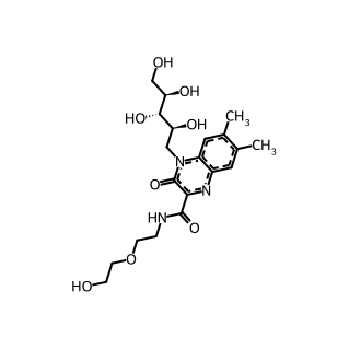 Cc1cc2nc(C(=O)NCCOCCO)c(=O)n(C[C@H](O)[C@H](O)[C@H](O)CO)c2cc1C